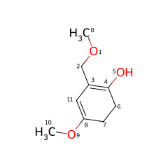 COCC1=C(O)CCC(OC)=C1